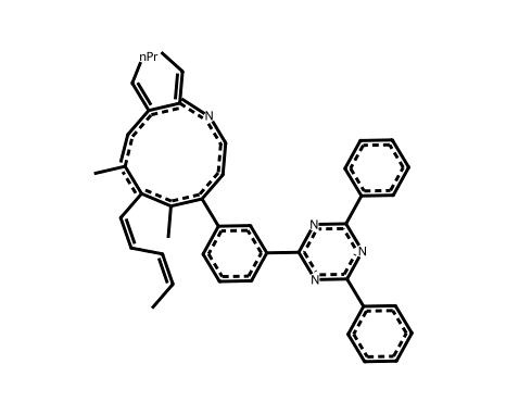 C/C=C\C=C/c1c(C)cc(=C/CCC)/c(=C\C)nccc(-c2cccc(-c3nc(-c4ccccc4)nc(-c4ccccc4)n3)c2)c1C